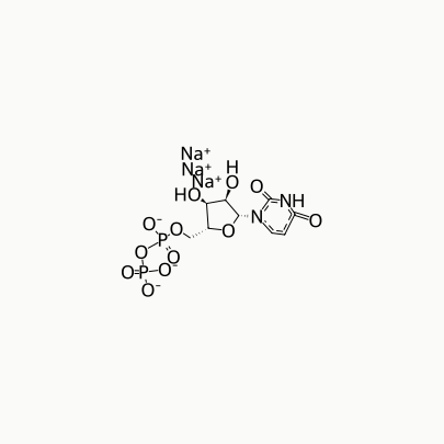 O=c1ccn([C@@H]2O[C@H](COP(=O)([O-])OP(=O)([O-])[O-])[C@@H](O)[C@H]2O)c(=O)[nH]1.[Na+].[Na+].[Na+]